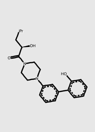 CC(C)C[C@@H](O)C(=O)N1CCN(c2cccc(-c3ccccc3O)c2)CC1